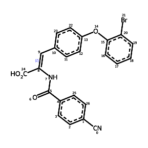 N#Cc1ccc(C(=O)N/C(=C\c2ccc(Oc3ccccc3Br)cc2)C(=O)O)cc1